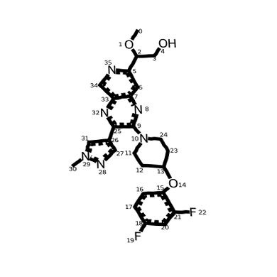 COC(CO)c1cc2nc(N3CCC(Oc4ccc(F)cc4F)CC3)c(-c3cnn(C)c3)nc2cn1